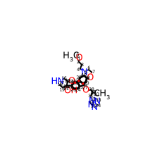 COCCCN1CCOc2ccc(CO[C@H]3CNCC[C@]3(O)c3ccc(COC[C@@H](C)Cn4ncnn4)cc3)cc21